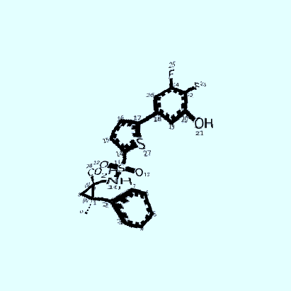 C[C@]1(c2ccccc2)C[C@@]1(NS(=O)(=O)c1ccc(-c2cc(O)c(F)c(F)c2)s1)C(=O)O